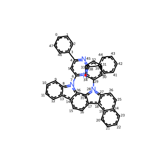 c1ccc(-c2cc(-n3c4ccccc4c4ccc5c6c7ccccc7ccc6n(-c6ccccc6)c5c43)nc(-c3ccccc3)n2)cc1